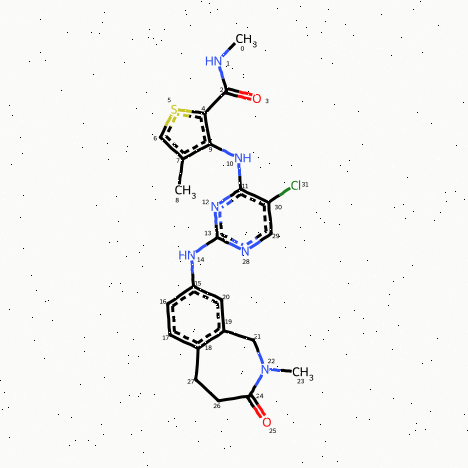 CNC(=O)c1scc(C)c1Nc1nc(Nc2ccc3c(c2)CN(C)C(=O)CC3)ncc1Cl